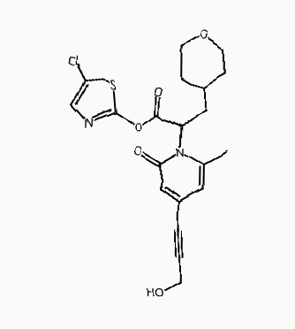 Cc1cc(C#CCO)cc(=O)n1C(CC1CCOCC1)C(=O)Oc1ncc(Cl)s1